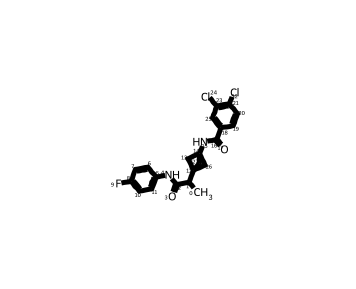 CC(C(=O)Nc1ccc(F)cc1)C12CC(NC(=O)c3ccc(Cl)c(Cl)c3)(C1)C2